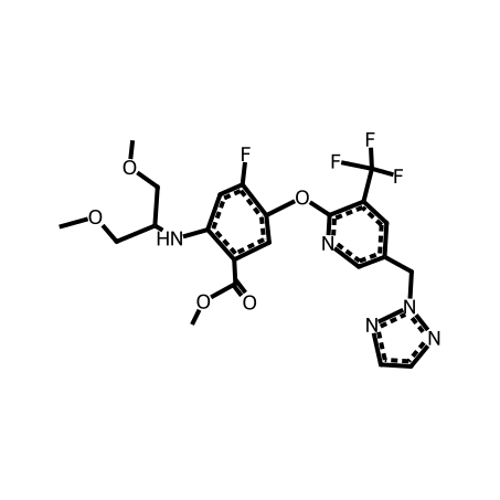 COCC(COC)Nc1cc(F)c(Oc2ncc(Cn3nccn3)cc2C(F)(F)F)cc1C(=O)OC